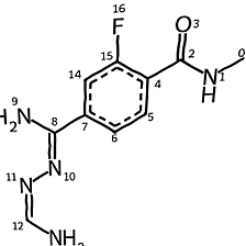 CNC(=O)c1ccc(/C(N)=N/N=C\N)cc1F